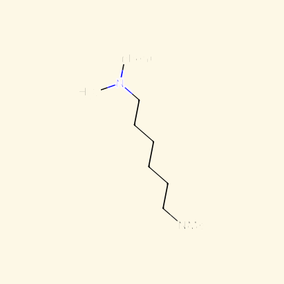 CCCCCN(C)CCCCCCNC